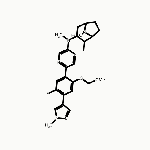 COCOc1cc(-c2cnn(C)c2)c(F)cc1-c1cnc(N(C)C2CC3CCC(C2F)N3C(=O)O)cn1